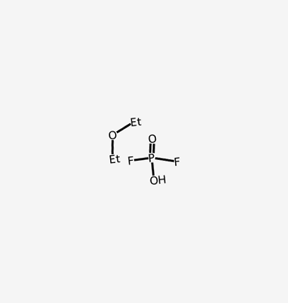 CCOCC.O=P(O)(F)F